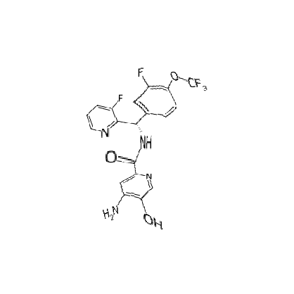 Nc1cc(C(=O)N[C@@H](c2ccc(OC(F)(F)F)c(F)c2)c2ncccc2F)ncc1O